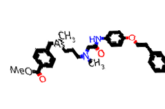 COC(=O)c1ccc(C[As](C)CCCN(C)CC(=O)Nc2ccc(OCCc3ccccc3)cc2)cc1